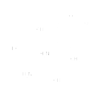 Cc1c(C)c(-c2c3cc(N)cc2OO3)c(C)c(C)c1N